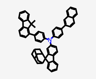 CC1(C)c2ccccc2-c2cccc(-c3ccc(N(c4ccc(-c5ccc6ccccc6c5)cc4)c4ccc5c(c4)C4(c6ccccc6-5)C5CC6CC(C5)CC4C6)cc3)c21